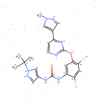 Cn1cc(-c2ccnc(Oc3cc(NC(=O)Nc4cnn(C(C)(C)C)c4)c(F)cc3F)n2)cn1